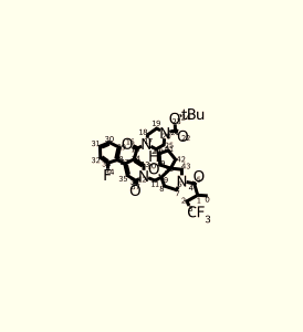 CC(CC(F)(F)F)C(=O)N1CC[C@@](O)(Cn2cc(C(=O)N3CCN(C(=O)OC(C)(C)C)CC3)c(-c3ccccc3F)cc2=O)C2(CCCC2)C1